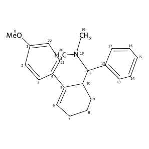 COc1ccc(C2=CCCCC2C(c2ccccc2)N(C)C)cc1